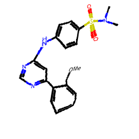 COc1ccccc1-c1cc(Nc2ccc(S(=O)(=O)N(C)C)cc2)ncn1